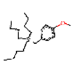 CCC[CH2][Sn]([CH2]CCC)([CH2]CCC)[CH2]c1ccc(OC)cc1